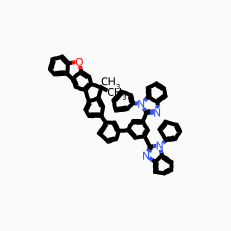 CC1(C)c2cc(-c3cccc(-c4cc(-c5nc6ccccc6n5-c5ccccc5)cc(-c5nc6ccccc6n5-c5ccccc5)c4)c3)ccc2-c2cc3c(cc21)oc1ccccc13